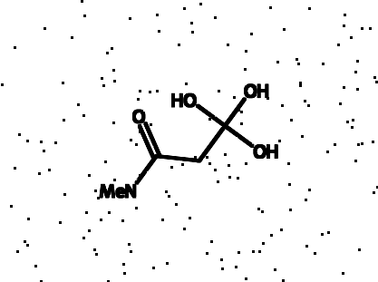 CNC(=O)CC(O)(O)O